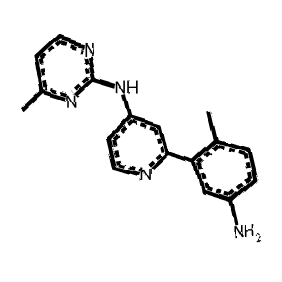 Cc1ccnc(Nc2ccnc(-c3cc(N)ccc3C)c2)n1